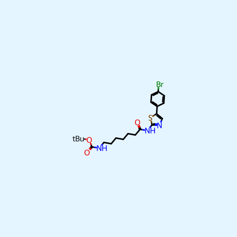 CC(C)(C)OC(=O)NCCCCCCC(=O)Nc1ncc(-c2ccc(Br)cc2)s1